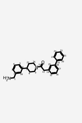 NCc1cccc(C2CCN(C(=O)Cc3cccc(-c4ccccc4)c3)CC2)c1